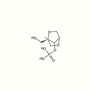 O=P(O)(O)OC1C2CO[C@@]1(CO)CO2